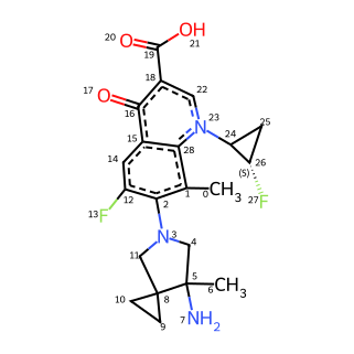 Cc1c(N2CC(C)(N)C3(CC3)C2)c(F)cc2c(=O)c(C(=O)O)cn(C3C[C@@H]3F)c12